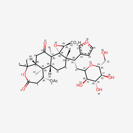 CC(=O)O[C@@H]1CC(=O)OC(C)(C)[C@@H]2CC(=O)[C@]3(C)[C@H](CC[C@@](C)([C@@H](CC4O[C@H](CO)[C@@H](O)[C@H](O)[C@H]4O)c4ccoc4)[C@@]34O[C@H]4C(=O)O)[C@@]12C